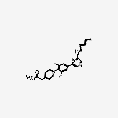 CCCCCOc1cncc(-c2cc(F)c(N3CCC(CC(=O)O)CC3)c(F)c2)n1